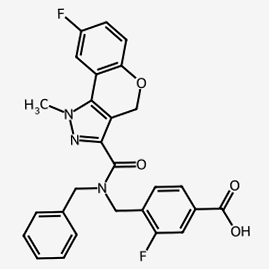 Cn1nc(C(=O)N(Cc2ccccc2)Cc2ccc(C(=O)O)cc2F)c2c1-c1cc(F)ccc1OC2